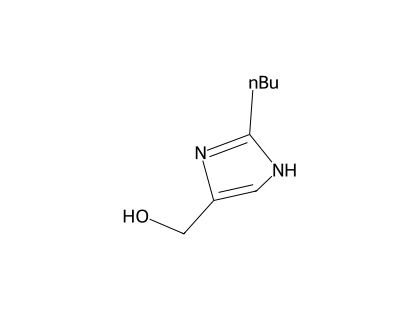 CCCCc1nc(CO)c[nH]1